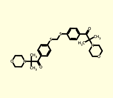 CC(C)(C(=O)c1ccc(SCSc2ccc(C(=O)C(C)(C)N3CCOCC3)cc2)cc1)N1CCOCC1